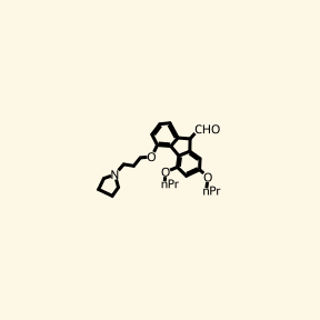 CCCOc1cc(OCCC)c2c(c1)C(C=O)c1cccc(OCCCN3CCCC3)c1-2